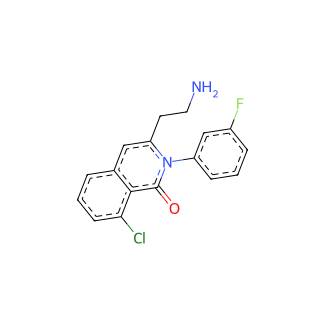 NCCc1cc2cccc(Cl)c2c(=O)n1-c1cccc(F)c1